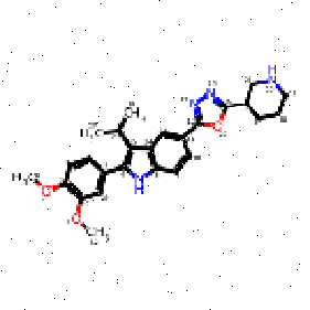 COc1ccc(-c2[nH]c3ccc(-c4nnc([C@@H]5CCCNC5)o4)cc3c2C(C)C)cc1OC